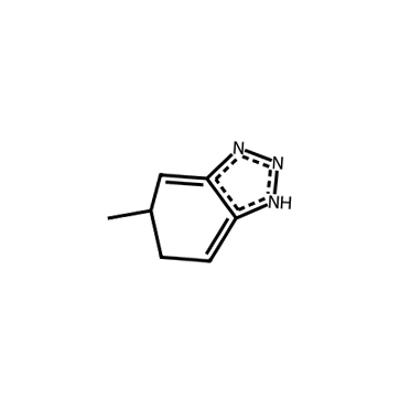 CC1C=c2nn[nH]c2=CC1